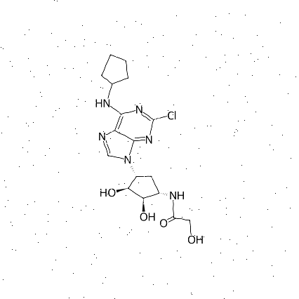 O=C(CO)N[C@H]1C[C@@H](n2cnc3c(NC4CCCC4)nc(Cl)nc32)[C@H](O)[C@@H]1O